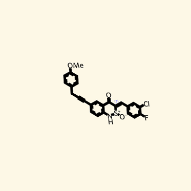 COc1ccc(CC#Cc2ccc3c(c2)C(=O)/C(=C/c2ccc(F)c(Cl)c2)[S+]([O-])N3)cc1